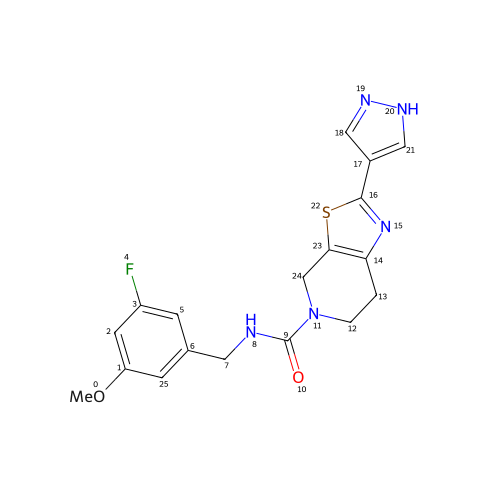 COc1cc(F)cc(CNC(=O)N2CCc3nc(-c4cn[nH]c4)sc3C2)c1